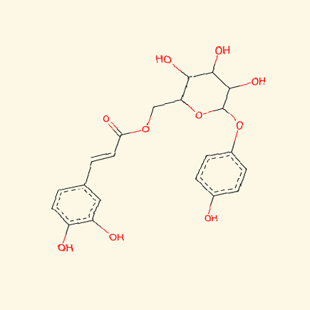 O=C(C=Cc1ccc(O)c(O)c1)OCC1OC(Oc2ccc(O)cc2)C(O)C(O)C1O